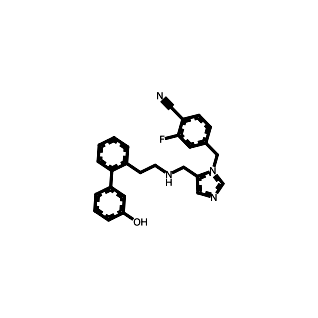 N#Cc1ccc(Cn2cncc2CNCCc2ccccc2-c2cccc(O)c2)cc1F